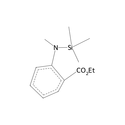 CCOC(=O)c1ccccc1N(C)[Si](C)(C)C